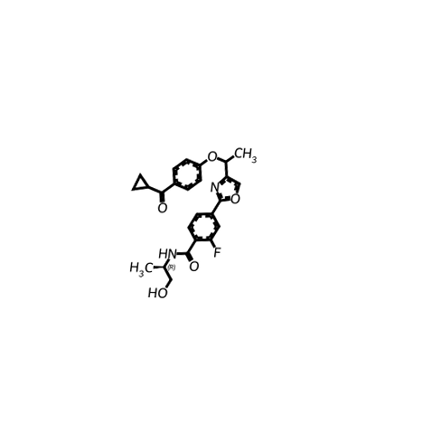 CC(Oc1ccc(C(=O)C2CC2)cc1)c1coc(-c2ccc(C(=O)N[C@H](C)CO)c(F)c2)n1